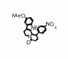 COc1ccc2[nH]c3c(c2c1)CCN1C(=O)CCC(c2ccc([N+](=O)[O-])cc2)=C31